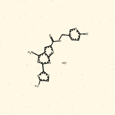 Cc1csc(-c2nc(N)c3cc(C(=O)NCc4ccc(Cl)nc4)sc3n2)n1.Cl